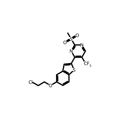 CS(=O)(=O)c1ncc(C(F)(F)F)c(-c2cc3cc(OCCCl)ccc3s2)n1